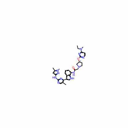 CCN(C)c1ccnc(O[C@H]2CCN(CC(=O)Nc3cccc4c(-c5nc(Nc6cc(C)n(C)n6)ncc5C)c[nH]c34)C2)n1